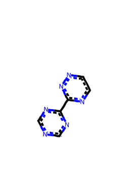 [c]1ncnc(-c2nccnn2)n1